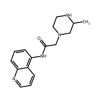 CC1CN(CC(=O)Nc2cccc3ncccc23)CCN1